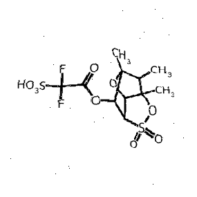 CC1C2(C)OC3C(C2OC(=O)C(F)(F)S(=O)(=O)O)S(=O)(=O)OC31C